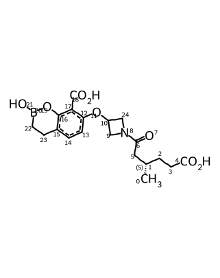 C[C@@H](CCC(=O)O)CC(=O)N1CC(Oc2ccc3c(c2C(=O)O)OB(O)CC3)C1